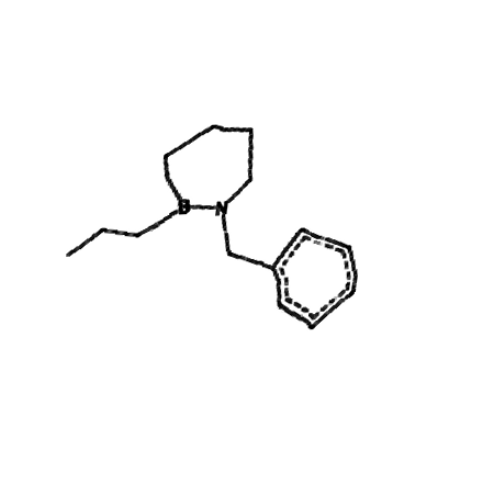 CCCB1CCCCN1Cc1ccccc1